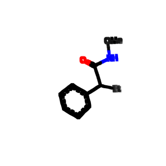 CCC(C(=O)NOC)c1ccccc1